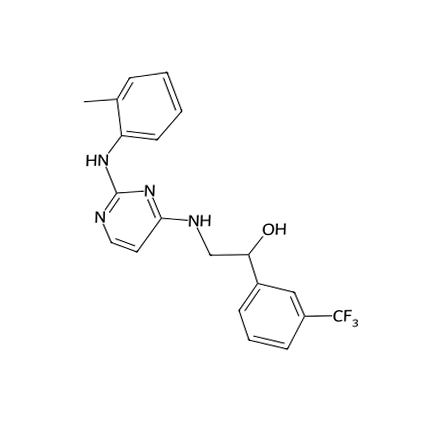 Cc1ccccc1Nc1nccc(NCC(O)c2cccc(C(F)(F)F)c2)n1